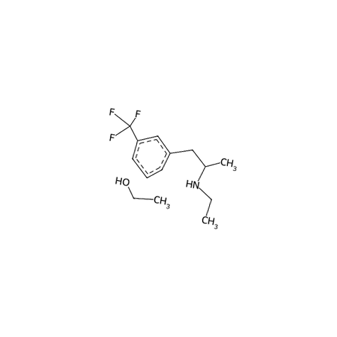 CCNC(C)Cc1cccc(C(F)(F)F)c1.CCO